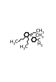 CCCCc1cccc(P(CCC)c2cccc(C)c2C)c1CCCC